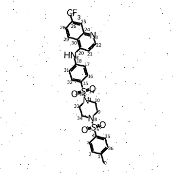 Cc1ccc(S(=O)(=O)N2CCN(S(=O)(=O)c3ccc(Nc4ccnc5cc(C(F)(F)F)ccc45)cc3)CC2)cc1